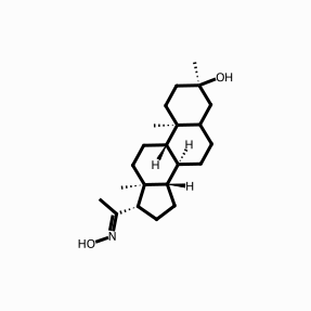 C/C(=N\O)[C@H]1CC[C@H]2[C@@H]3CCC4C[C@](C)(O)CC[C@]4(C)[C@H]3CC[C@]12C